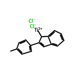 Cc1ccc(C2=Cc3ccccc3[CH]2[Ti+2])cc1.[Cl-].[Cl-]